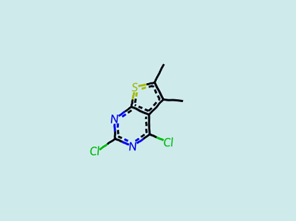 Cc1sc2nc(Cl)nc(Cl)c2c1C